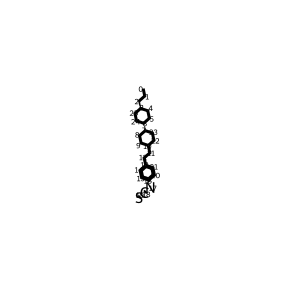 CCC[C@H]1CC[C@H](C2CCC(CCc3ccc(N=C=S)cc3)CC2)CC1